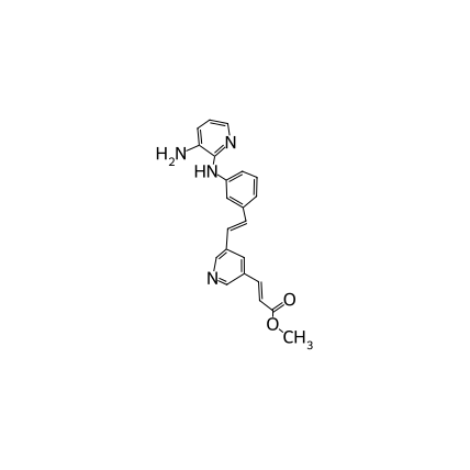 COC(=O)/C=C/c1cncc(/C=C/c2cccc(Nc3ncccc3N)c2)c1